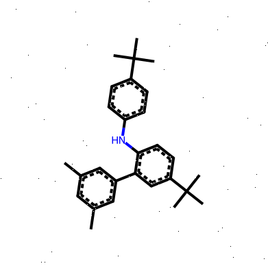 Cc1cc(C)cc(-c2cc(C(C)(C)C)ccc2Nc2ccc(C(C)(C)C)cc2)c1